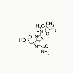 CC(C)(C)C(=O)Nc1nc2c(s1)c(C(N)=O)nn2CC(=O)O